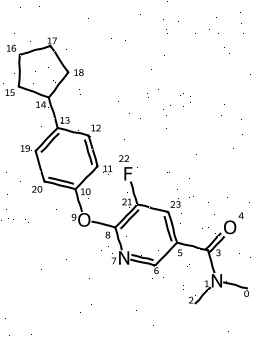 CN(C)C(=O)c1cnc(Oc2ccc(C3CCCC3)cc2)c(F)c1